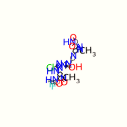 Cn1nc(C2CCC(=O)NC2=O)c2ccc(N3CCC(CN4CCN(c5ncc(Cl)c(Nc6ccc7c(c6)c6c(c(=O)n7C)OCC(F)(F)[C@H](C7CC7)N6)n5)C[C@@H]4CO)CC3)cc21